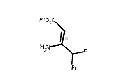 CCOC(=O)/C=C(\N)C(F)C(C)C